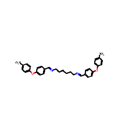 O=[N+]([O-])c1ccc(Oc2ccc(C=NCCCCCCN=Cc3ccc(Oc4ccc([N+](=O)[O-])cc4)cc3)cc2)cc1